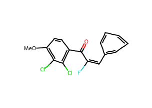 COc1ccc(C(=O)/C(F)=C\c2ccccc2)c(Cl)c1Cl